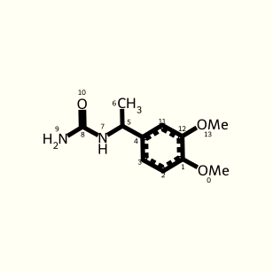 COc1ccc(C(C)NC(N)=O)cc1OC